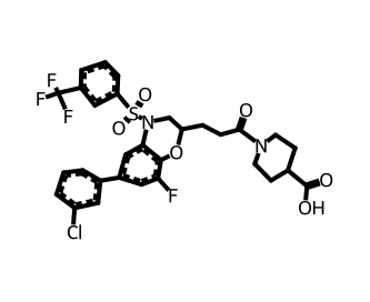 O=C(O)C1CCN(C(=O)CCC2CN(S(=O)(=O)c3cccc(C(F)(F)F)c3)c3cc(-c4cccc(Cl)c4)cc(F)c3O2)CC1